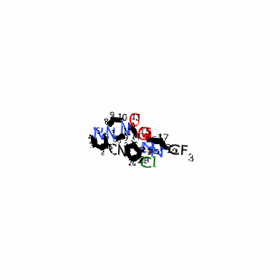 N#Cc1cccnc1N1CCCN(C(=O)COc2cc(C(F)(F)F)nn2-c2ccccc2Cl)CC1